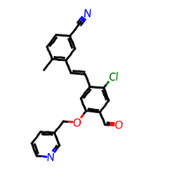 Cc1ccc(C#N)cc1/C=C/c1cc(OCc2cccnc2)c(C=O)cc1Cl